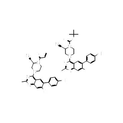 C=CC(=O)N1CCN(c2nc(C)nc3cc(Cl)c(-c4ccc(Cl)cc4)cc23)CC1C#N.Cc1nc(N2CCN(C(=O)OC(C)(C)C)C(C#N)C2)c2cc(-c3ccc(Cl)cc3)c(Cl)cc2n1